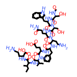 CCC(C)C(NC(=O)C(NC(=O)C(CCC(=O)O)NC(=O)C(Cc1ccccc1)NC(=O)C(CCN)NC(=O)C(CCC(N)=O)NC(=O)C(CO)NC(=O)C(Cc1c[nH]c2ccccc12)NC(=O)C(CO)NC=O)C(C)C)C(=O)NC(CCCN)C(=O)O